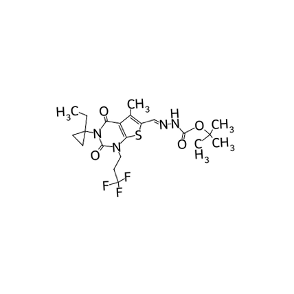 CCC1(n2c(=O)c3c(C)c(C=NNC(=O)OC(C)(C)C)sc3n(CCC(F)(F)F)c2=O)CC1